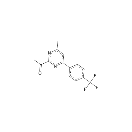 CC(=O)c1nc(C)cc(-c2ccc(C(F)(F)F)cc2)n1